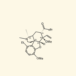 C=C[C@@]1(OC)[C@@H](C(=O)CCC)CC2[C@@H](C)N(C)CC[C@@]23c2c(CC)ccc(OC)c2O[C@@H]13